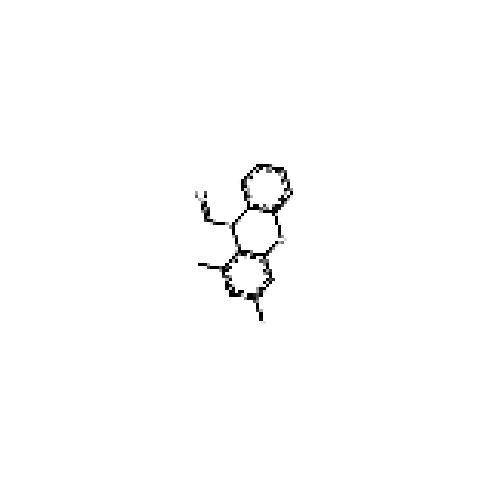 Cc1cc(C)c2c(c1)Sc1ccccc1C2C=O